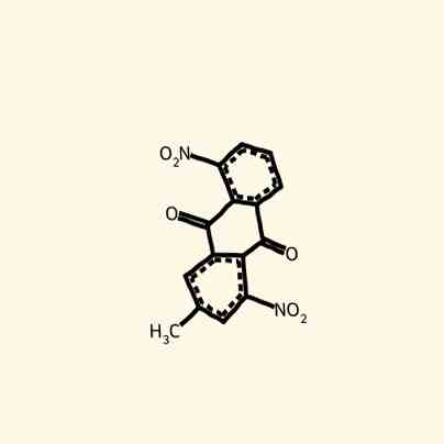 Cc1cc2c(c([N+](=O)[O-])c1)C(=O)c1cccc([N+](=O)[O-])c1C2=O